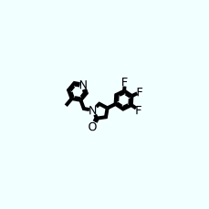 Cc1ccncc1CN1CC(c2cc(F)c(F)c(F)c2)CC1=O